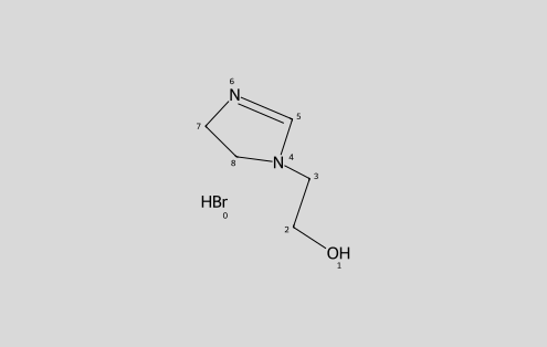 Br.OCCN1C=NCC1